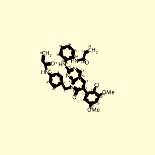 C=CC(=O)Nc1ccc(Cn2c(=O)c(-c3cc(OC)cc(OC)c3Cl)cc3cnc(Nc4ccccc4NC(=O)C=C)nc32)cc1